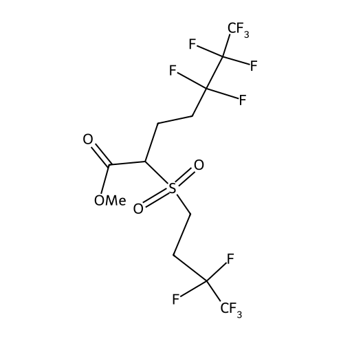 COC(=O)C(CCC(F)(F)C(F)(F)C(F)(F)F)S(=O)(=O)CCC(F)(F)C(F)(F)F